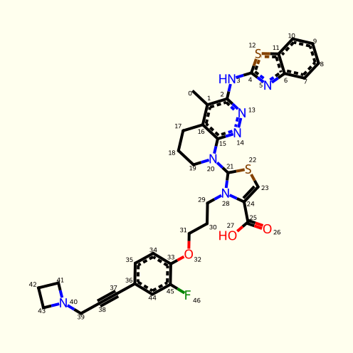 Cc1c(Nc2nc3ccccc3s2)nnc2c1CCCN2C1SC=C(C(=O)O)N1CCCOc1ccc(C#CCN2CCC2)cc1F